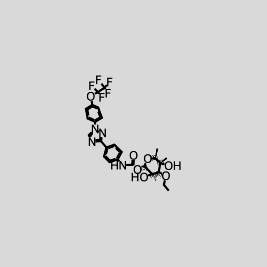 CCO[C@H]1[C@@](C)(O)[C@H](OC(=O)Nc2ccc(-c3ncn(-c4ccc(OC(F)(F)C(F)(F)F)cc4)n3)cc2)O[C@@H](C)[C@]1(C)O